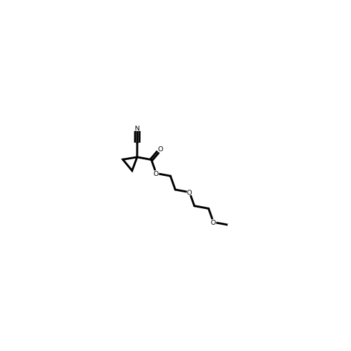 COCCOCCOC(=O)C1(C#N)CC1